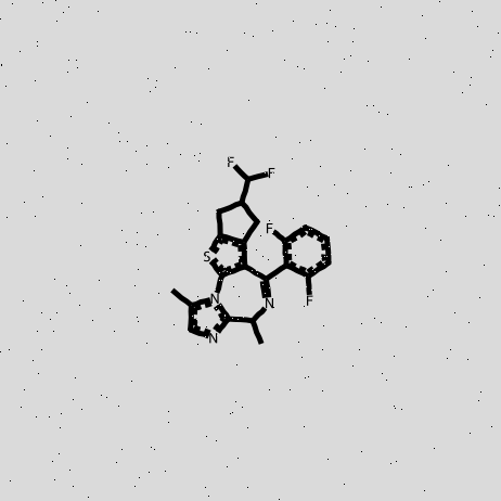 Cc1cnc2n1-c1sc3c(c1C(c1c(F)cccc1F)=NC2C)CC(C(F)F)C3